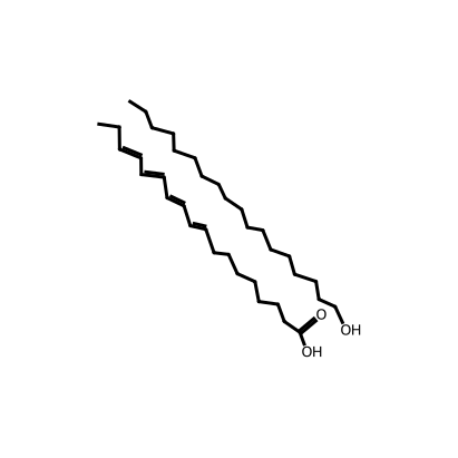 CCC=CC=CC=CC=CCCCCCCCC(=O)O.CCCCCCCCCCCCCCCCCCO